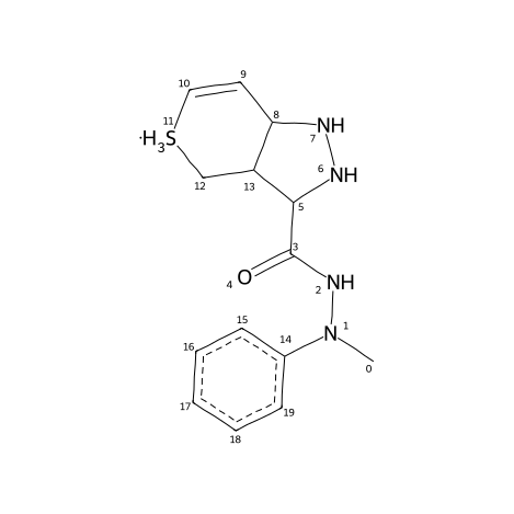 CN(NC(=O)C1NNC2C=C[SH3]CC21)c1ccccc1